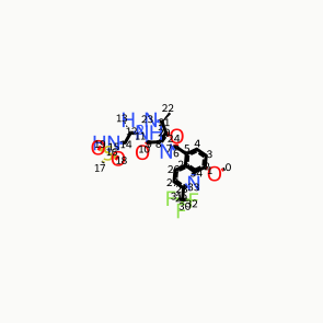 COc1ccc(-c2nc(C(=O)N[C@@H](C)CNS(C)(=O)=O)c([C@H](C)N)o2)c2ccc(C(F)(F)F)nc12